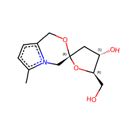 Cc1ccc2n1C[C@]1(C[C@H](O)[C@@H](CO)O1)OC2